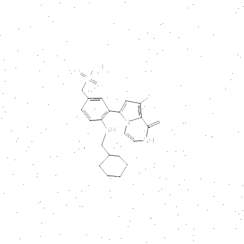 Cc1cc(-c2cc(CS(C)(=O)=O)ccc2NCC2CCCCC2)n2cc[nH]c(=O)c12